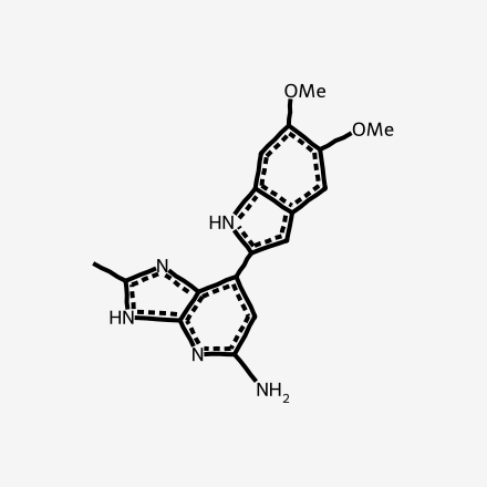 COc1cc2cc(-c3cc(N)nc4[nH]c(C)nc34)[nH]c2cc1OC